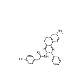 Nc1ccc2c(c1)CCc1nc(NC(=O)Cc3ccc(Cl)cc3)c(-c3ccccc3)nc1-2